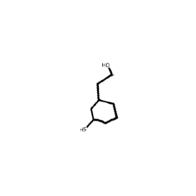 O[C]CC1CCCC(S)C1